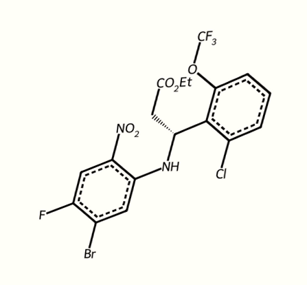 CCOC(=O)C[C@@H](Nc1cc(Br)c(F)cc1[N+](=O)[O-])c1c(Cl)cccc1OC(F)(F)F